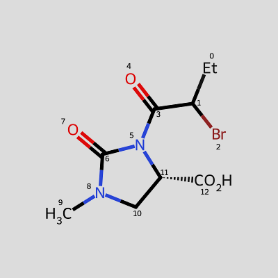 CCC(Br)C(=O)N1C(=O)N(C)C[C@H]1C(=O)O